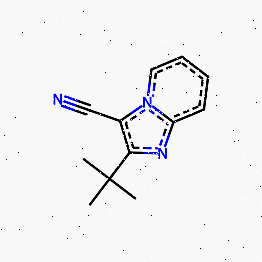 CC(C)(C)c1nc2ccccn2c1C#N